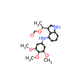 COc1cc(Nc2cccc3[nH]cc(C(C)OC=O)c23)cc(OC)c1OC